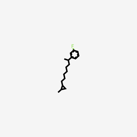 CC(CCCCCCC1CC1C)c1cccc(F)c1